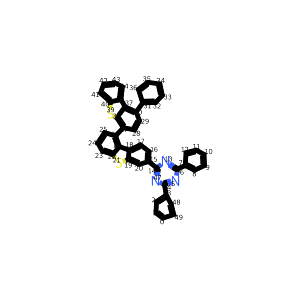 c1ccc(-c2nc(-c3ccccc3)nc(-c3ccc4c(c3)sc3cccc(-c5ccc(-c6ccccc6)c6c5sc5ccccc56)c34)n2)cc1